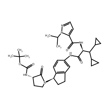 CC(C)n1nccc1C(=O)N[C@H](C(=O)Nc1ccc2c(c1)CC[C@H]2N1CC[C@H](NC(=O)OC(C)(C)C)C1=O)C(C1CC1)C1CC1